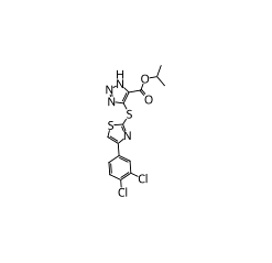 CC(C)OC(=O)c1[nH]nnc1Sc1nc(-c2ccc(Cl)c(Cl)c2)cs1